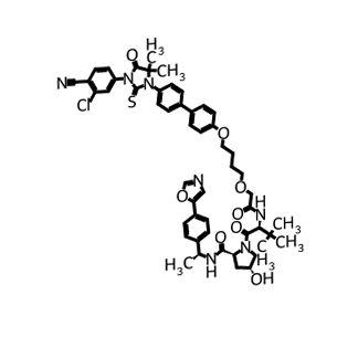 C[C@H](NC(=O)[C@@H]1C[C@@H](O)CN1C(=O)[C@@H](NC(=O)COCCCCOc1ccc(-c2ccc(N3C(=S)N(c4ccc(C#N)c(Cl)c4)C(=O)C3(C)C)cc2)cc1)C(C)(C)C)c1ccc(-c2cnco2)cc1